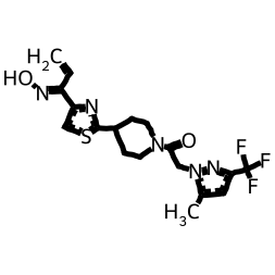 C=CC(=NO)c1csc(C2CCN(C(=O)Cn3nc(C(F)(F)F)cc3C)CC2)n1